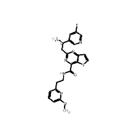 COc1cccc(CCNC(=O)c2nc(C[C@@H](C)c3cncc(F)c3)nc3ccsc23)n1